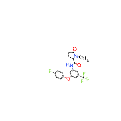 CN1C(=O)CCC1C(=O)Nc1cc(Oc2ccc(F)cc2)cc(C(F)(F)F)c1